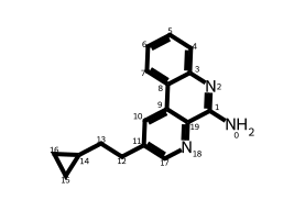 Nc1nc2ccccc2c2cc(CCC3CC3)cnc12